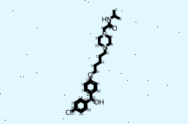 CC(C)NC(=O)CN1CCN(CCCCCOc2ccc(C(O)c3ccc(Cl)cc3)cc2)CC1